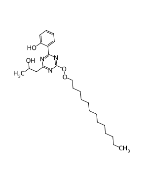 CCCCCCCCCCCCCOOc1nc(CC(C)O)nc(-c2ccccc2O)n1